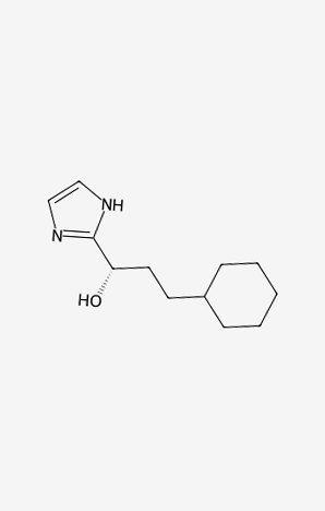 O[C@@H](CCC1CCCCC1)c1ncc[nH]1